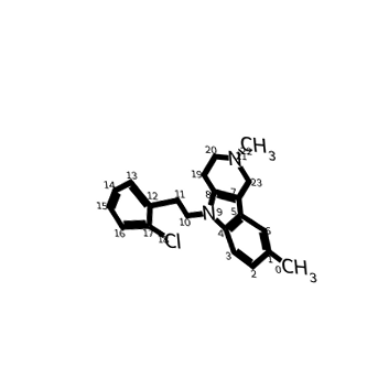 Cc1ccc2c(c1)c1c(n2CCc2ccccc2Cl)CCN(C)C1